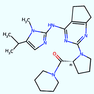 CC(C)c1cnc(Nc2nc(N3CCC[C@@H]3C(=O)N3CCCCC3)nc3c2CCC3)n1C